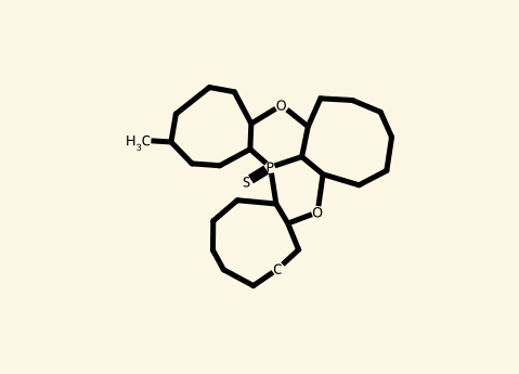 CC1CCCC2OC3CCCCCCC4OC5CCCCCCCC5P(=S)(C2CC1)C43